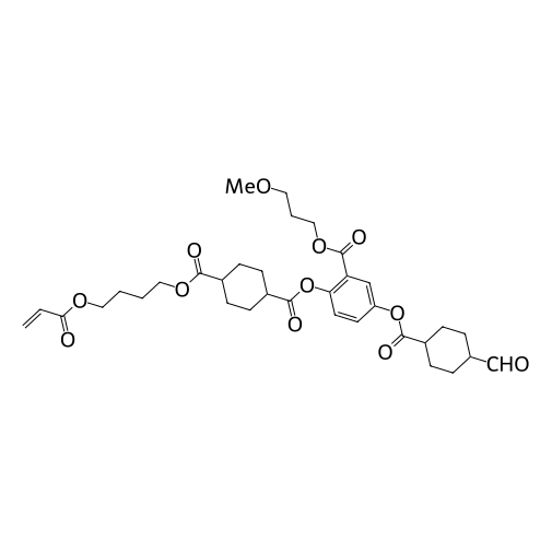 C=CC(=O)OCCCCOC(=O)C1CCC(C(=O)Oc2ccc(OC(=O)C3CCC(C=O)CC3)cc2C(=O)OCCCOC)CC1